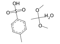 COC(C)(C)OC.Cc1ccc(S(=O)(=O)O)cc1.O